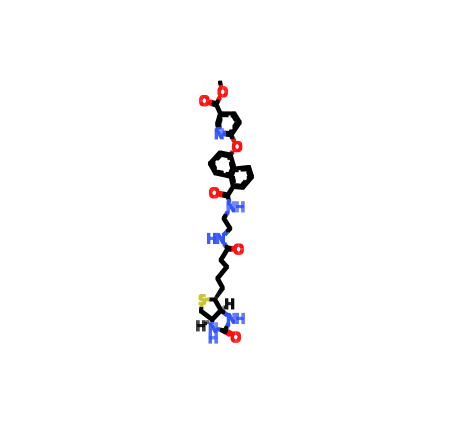 COC(=O)c1ccc(Oc2cccc3c(C(=O)NCCNC(=O)CCCC[C@@H]4SC[C@@H]5NC(=O)N[C@@H]54)cccc23)nc1